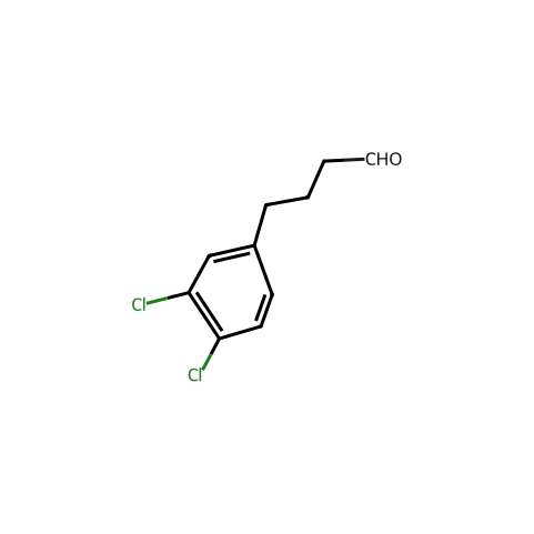 O=CCCCc1ccc(Cl)c(Cl)c1